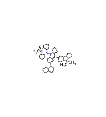 CC1(C)c2ccccc2-c2cc(-c3c4ccccc4c(N4c5ccccc5[Si](C)(C)c5ccccc54)c4ccc(-c5cccc6ccccc56)cc34)ccc21